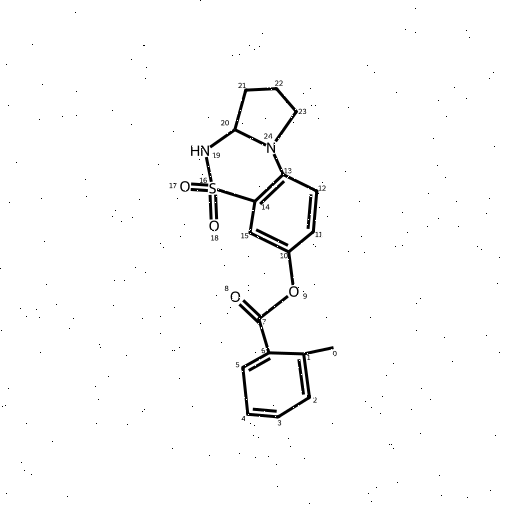 Cc1ccccc1C(=O)Oc1ccc2c(c1)S(=O)(=O)NC1CCCN21